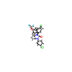 O=C1N(c2ccc(Cl)cc2)C2CCCC2(c2cccc(OC(F)F)c2)N1c1ccc(Cl)cc1